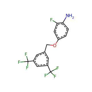 Nc1ccc(OCc2cc(C(F)(F)F)cc(C(F)(F)F)c2)cc1F